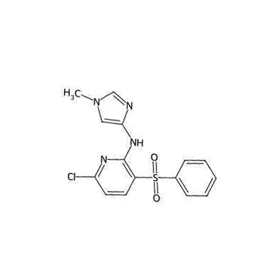 Cn1cnc(Nc2nc(Cl)ccc2S(=O)(=O)c2ccccc2)c1